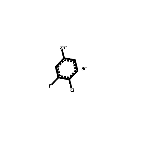 Fc1c[c]([Zn+])ccc1Cl.[Br-]